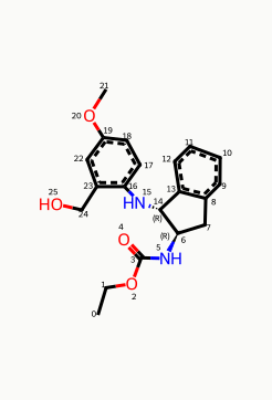 CCOC(=O)N[C@@H]1Cc2ccccc2[C@H]1Nc1ccc(OC)cc1CO